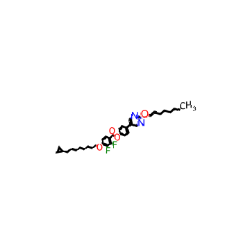 CCCCCCCCOc1ncc(-c2ccc(OC(=O)c3ccc(OCCCCCCCCC4CC4)c(F)c3F)cc2)cn1